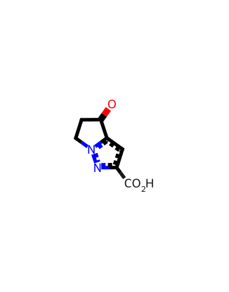 O=C(O)c1cc2n(n1)CCC2=O